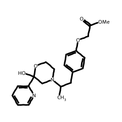 COC(=O)COc1ccc(CC(C)N2CCOC(O)(c3ccccn3)C2)cc1